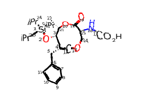 CC(C)[Si](O[C@H]1[C@@H](Cc2ccccc2)COC[C@H](NC(=O)O)C(=O)O[C@H]1C)(C(C)C)C(C)C